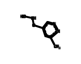 Cc1cc(OBO)cnn1